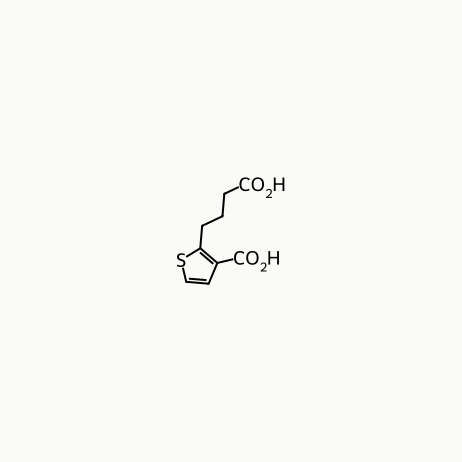 O=C(O)CCCc1sccc1C(=O)O